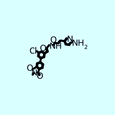 CN1C(=O)c2ccc(-c3cc(Cl)c4oc(CNC(=O)/C=C/c5ccc(N)nc5)cc4c3)cc2C1=O